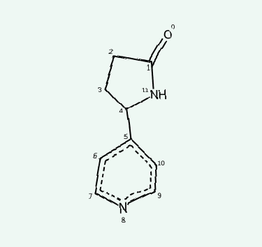 O=C1CCC(c2ccncc2)N1